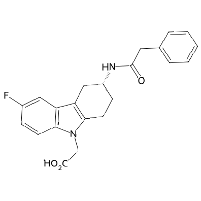 O=C(O)Cn1c2c(c3cc(F)ccc31)C[C@H](NC(=O)Cc1ccccc1)CC2